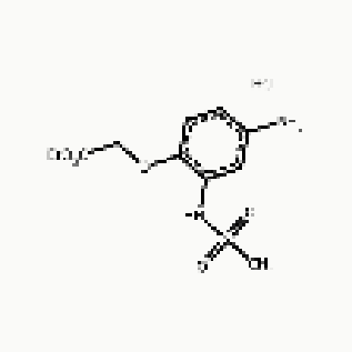 CCOC(=O)COc1ccc(N)cc1NS(C)(=O)=O.Cl